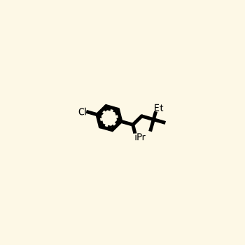 CCC(C)(C)CC(c1ccc(Cl)cc1)C(C)C